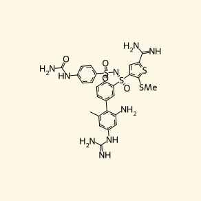 CSc1sc(C(=N)N)cc1S(=O)(=NS(=O)(=O)c1ccc(NC(N)=O)cc1)c1cccc(-c2c(C)cc(NC(=N)N)cc2N)c1